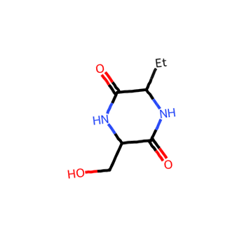 CCC1NC(=O)C(CO)NC1=O